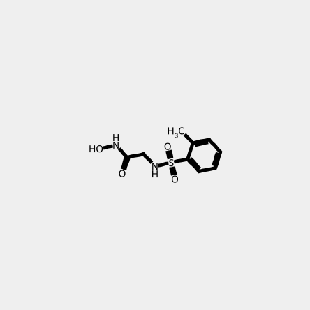 Cc1ccccc1S(=O)(=O)NCC(=O)NO